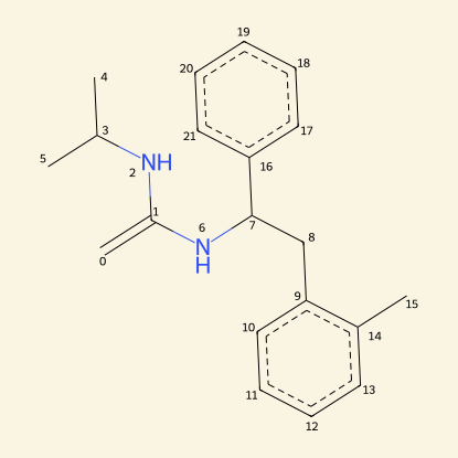 C=C(NC(C)C)NC(Cc1ccccc1C)c1ccccc1